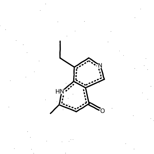 CCc1cncc2c(=O)cc(C)[nH]c12